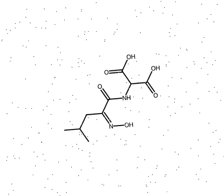 CC(C)CC(=NO)C(=O)NC(C(=O)O)C(=O)O